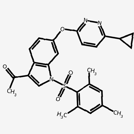 CC(=O)c1cn(S(=O)(=O)c2c(C)cc(C)cc2C)c2cc(Oc3ccc(C4CC4)nn3)ccc12